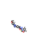 Cc1ccc(C(C)C)c(N2C(=O)CS/C2=N\C(=O)NC(C)(C)c2ccc(-c3ncn(-c4ccc(OC(F)(F)F)cc4)n3)cc2)c1